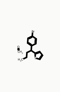 C=O.CCCC(c1ccc(Br)cc1)c1cccs1